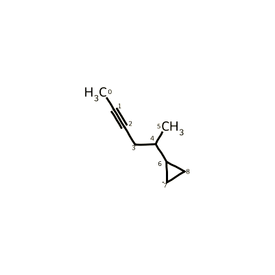 CC#CCC(C)C1[CH]C1